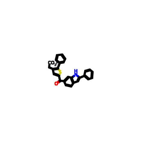 O=C(O)Cc1cc(C(=O)c2ccc3cc(-c4ccccc4)[nH]c3c2)sc1-c1ccccc1